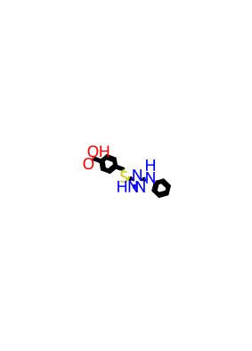 O=C(O)c1ccc(CSc2nc(Nc3ccccc3)n[nH]2)cc1